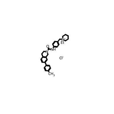 CC[N+]1(Cc2ccc(NC(=O)N3CCc4ccc(-c5ccc(C)cc5)cc4C3)cc2)CCCCC1.[Cl-]